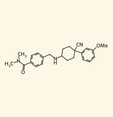 COc1cccc(C2(C#N)CCC(NCc3ccc(C(=O)N(C)C)cc3)CC2)c1